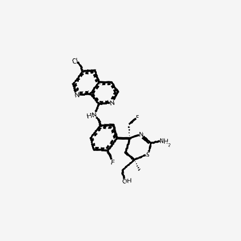 C[C@]1(CO)C[C@@](CF)(c2cc(Nc3nccc4cc(Cl)cnc34)ccc2F)N=C(N)S1